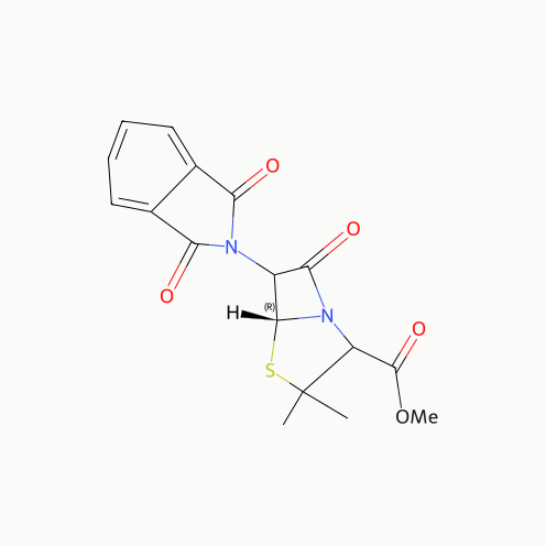 COC(=O)C1N2C(=O)C(N3C(=O)c4ccccc4C3=O)[C@H]2SC1(C)C